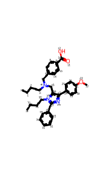 CCCCN(Cc1ccc(C(=O)O)cc1)Cc1c(-c2ccc(OC)cc2)nc(-c2ccccc2)n1CCCC